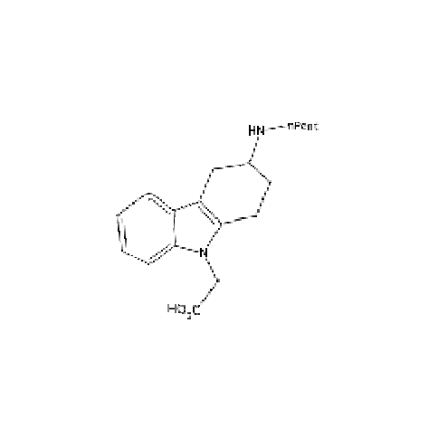 CCCCCNC1CCc2c(c3ccccc3n2CC(=O)O)C1